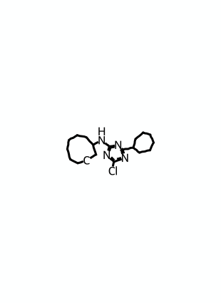 Clc1nc(NC2CCCCCCCC2)nc(C2CCCCCC2)n1